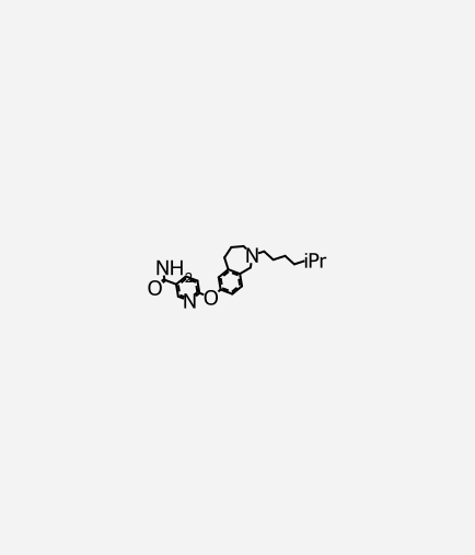 CC(C)CCCCN1CCCc2cc(Oc3ccc(C(N)=O)cn3)ccc2C1